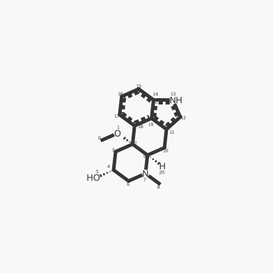 CO[C@@]12C[C@@H](O)CN(C)[C@@H]1Cc1c[nH]c3cccc2c13